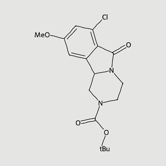 COc1cc(Cl)c2c(c1)C1CN(C(=O)OC(C)(C)C)CCN1C2=O